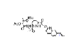 C/C=C/c1ccc2ccc([C@@H](C)CC(=O)[C@@H]3CCCN(C(=O)[C@H](C)NC(=O)C(OC(C)=O)[C@@H](C)OC(C)(C)C)N3)nc2c1